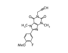 C#CCn1c(=O)c2c(nc(-c3ccc(OC)c(F)c3)n2C)n(C)c1=O